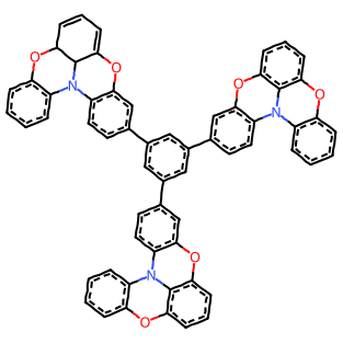 C1=CC2Oc3ccccc3N3c4ccc(-c5cc(-c6ccc7c(c6)Oc6cccc8c6N7c6ccccc6O8)cc(-c6ccc7c(c6)Oc6cccc8c6N7c6ccccc6O8)c5)cc4OC(=C1)C23